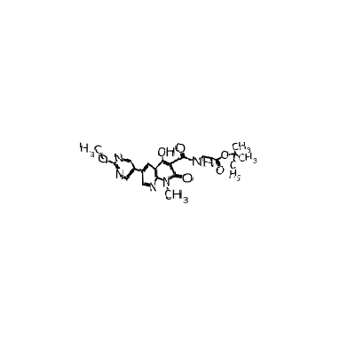 COc1ncc(-c2cnc3c(c2)c(O)c(C(=O)NCC(=O)OC(C)(C)C)c(=O)n3C)cn1